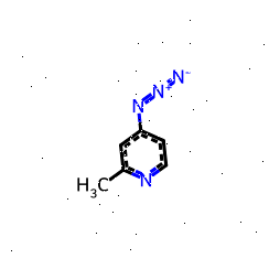 Cc1cc(N=[N+]=[N-])ccn1